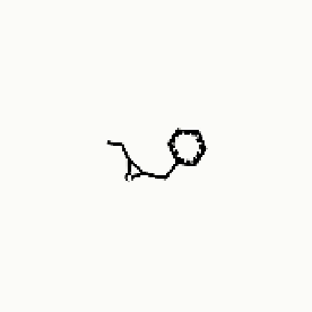 CCC1OC1Cc1ccccc1